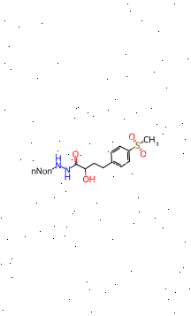 CCCCCCCCCNNC(=O)C(O)CCc1ccc(S(C)(=O)=O)cc1